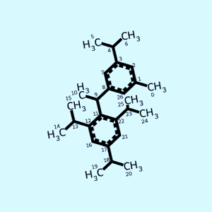 Cc1cc(C(C)C)cc(C(C)c2c(C(C)C)cc(C(C)C)cc2C(C)C)c1